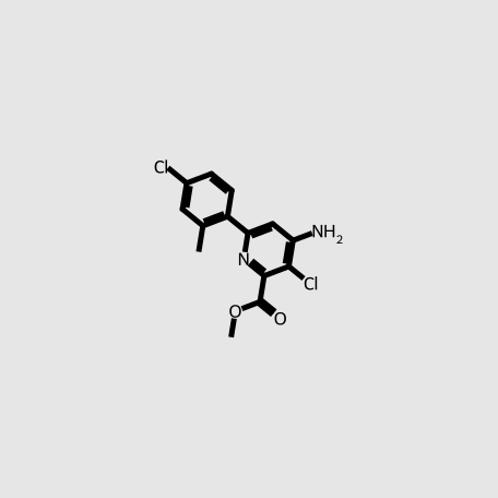 COC(=O)c1nc(-c2ccc(Cl)cc2C)cc(N)c1Cl